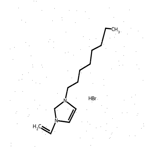 Br.C=CN1C=CN(CCCCCCCC)C1